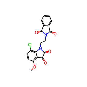 COc1ccc(Cl)c2c1C(=O)C(=O)N2CCN1C(=O)c2ccccc2C1=O